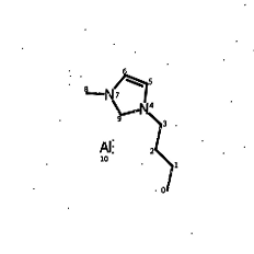 CCCCN1C=CN(C)C1.[Al]